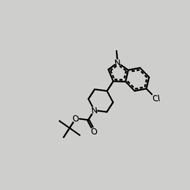 Cn1cc(C2CCN(C(=O)OC(C)(C)C)CC2)c2cc(Cl)ccc21